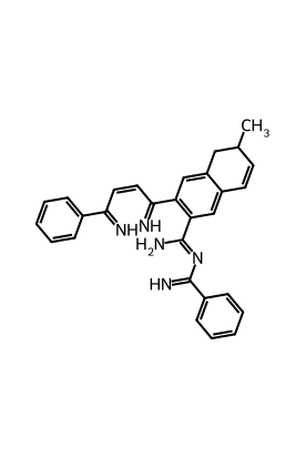 CC1C=Cc2cc(/C(N)=N/C(=N)c3ccccc3)c(C(=N)/C=C\C(=N)c3ccccc3)cc2C1